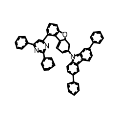 C1=C2c3c(cccc3-c3cc(-c4ccccc4)nc(-c4ccccc4)n3)OC2CC(n2c3ccc(-c4ccccc4)cc3c3ccc(-c4ccccc4)cc32)=C1